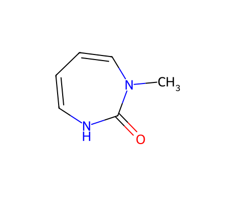 CN1C=CC=CNC1=O